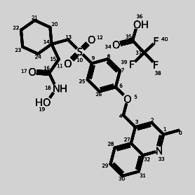 Cc1cc(COc2ccc(S(=O)(=O)CC3(CC(=O)NO)CCCCC3)cc2)c2ccccc2n1.O=C(O)C(F)(F)F